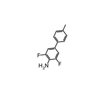 Cc1ccc(-c2cc(F)c(N)c(F)c2)cc1